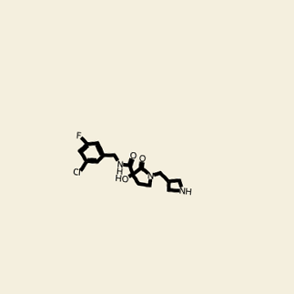 O=C(NCc1cc(F)cc(Cl)c1)C1(O)CCN(CC2CNC2)C1=O